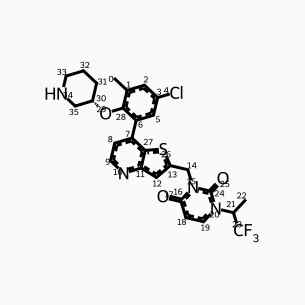 Cc1cc(Cl)cc(-c2ccnc3cc(Cn4c(=O)ccn(C(C)C(F)(F)F)c4=O)sc23)c1O[C@H]1CCCNC1